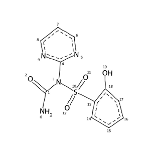 NC(=O)N(c1ncccn1)S(=O)(=O)c1ccccc1O